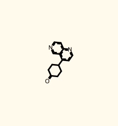 O=C1CCC(c2ccnc3ccncc23)CC1